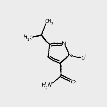 CC(C)c1cc(C(N)=O)n(Cl)n1